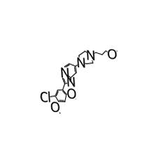 COCCCN1CCN(c2ccn3cc(-c4cc(Cl)c(OC)cc4OC)nc3c2)CC1